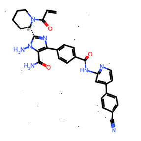 C=CC(=O)N1CCCC[C@H]1c1nc(-c2ccc(C(=O)Nc3cc(-c4ccc(C#N)cc4)ccn3)cc2)c(C(N)=O)n1N